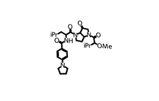 COC(C(=O)N1CC(=O)C2C1CCN2C(=O)C(CC(C)C)NC(=O)c1ccc(N2CCCC2)cc1)C(C)C